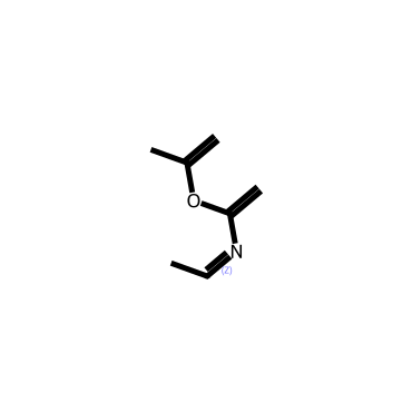 C=C(C)OC(=C)/N=C\C